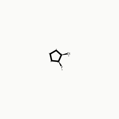 CC[C@@H]1CCC[C@@H]1F